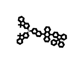 CC1(C)c2ccccc2-c2ccc(N(c3ccc4c(c3)C(C)(C)c3ccccc3-4)c3ccc4cc(-c5c6ccccc6c(-c6ccc7c(c6)C(c6ccccc6)(c6ccccc6)c6ccccc6-7)c6ccccc56)ccc4c3)cc21